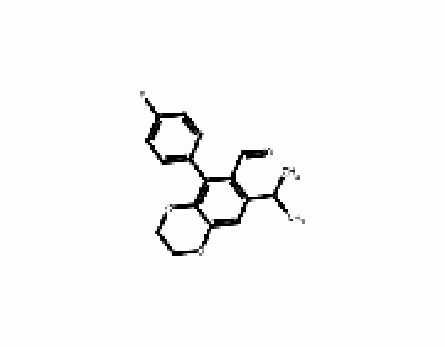 CC(C)c1cc2c(c(-c3ccc(F)cc3)c1C=O)OCCO2